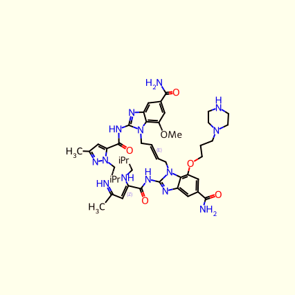 COc1cc(C(N)=O)cc2nc(NC(=O)c3cc(C)nn3CC(C)C)n(C/C=C/Cn3c(NC(=O)/C(=C/C(C)=N)NCC(C)C)nc4cc(C(N)=O)cc(OCCCN5CCNCC5)c43)c12